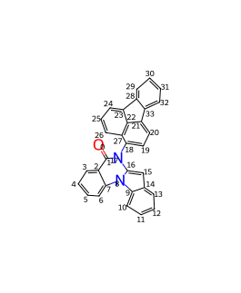 O=c1c2ccccc2n2c3ccccc3cc2n1-c1ccc2c3c(cccc13)-c1ccccc1-2